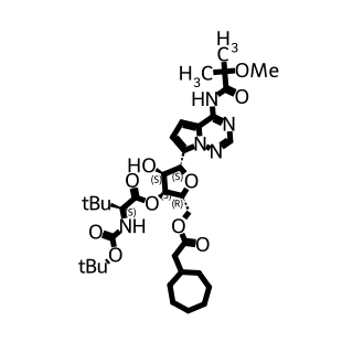 COC(C)(C)C(=O)Nc1ncnn2c([C@@H]3O[C@H](COC(=O)CC4CCCCCC4)[C@@H](OC(=O)[C@@H](NC(=O)OC(C)(C)C)C(C)(C)C)[C@H]3O)ccc12